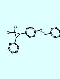 ClC1(Cl)C(c2ccccc2)C1c1ccc(OCc2ccccc2)cc1